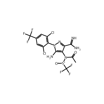 CC(=O)N(c1c(C(=N)N)nn(-c2c(Cl)cc(C(F)(F)F)cc2Cl)c1N)[S+]([O-])C(F)(F)F